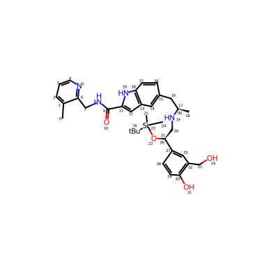 Cc1cccnc1CNC(=O)c1cc2cc(C[C@@H](C)NC[C@H](O[Si](C)(C)C(C)(C)C)c3ccc(O)c(CO)c3)ccc2[nH]1